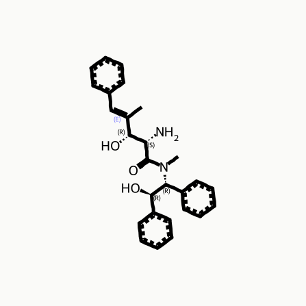 C/C(=C\c1ccccc1)[C@@H](O)[C@H](N)C(=O)N(C)[C@H](c1ccccc1)[C@H](O)c1ccccc1